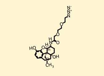 CN1CC[C@]23c4c5ccc(O)c4O[C@H]2[C@@H](NC(=O)COCCOCCN=[N+]=[N-])CC[C@@]3(O)C1C5